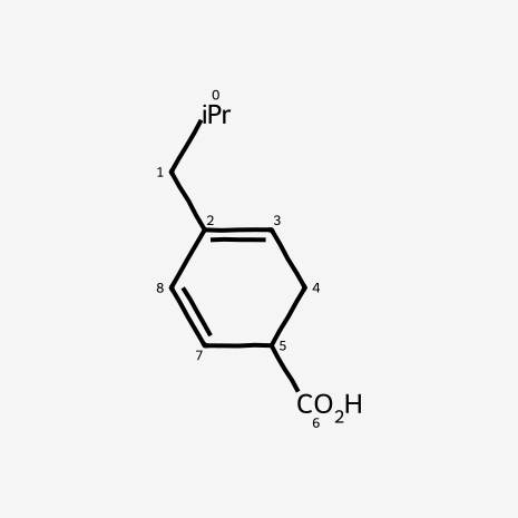 CC(C)CC1=CCC(C(=O)O)C=C1